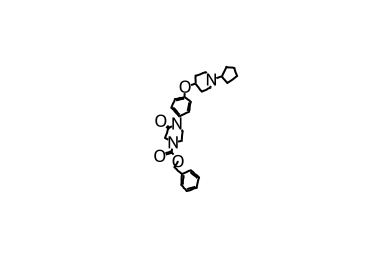 O=C(OCc1ccccc1)N1CCN(c2ccc(OC3CCN(C4CCCC4)CC3)cc2)C(=O)C1